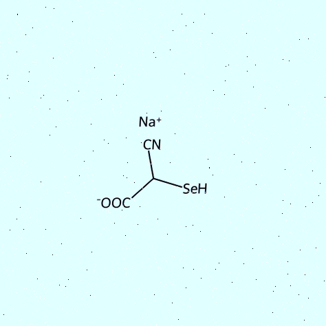 N#CC([SeH])C(=O)[O-].[Na+]